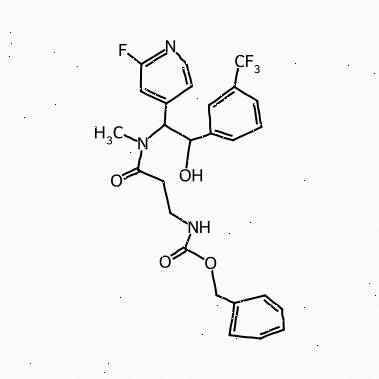 CN(C(=O)CCNC(=O)OCc1ccccc1)C(c1ccnc(F)c1)C(O)c1cccc(C(F)(F)F)c1